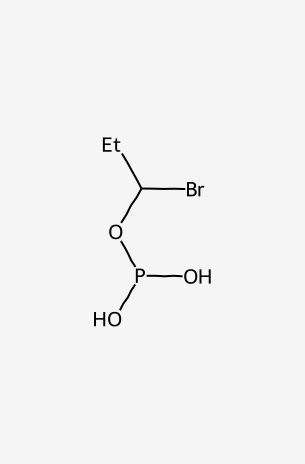 CCC(Br)OP(O)O